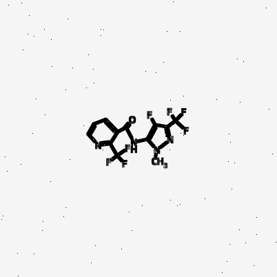 Cn1nc(C(F)(F)F)c(F)c1NC(=O)c1cccnc1C(F)(F)F